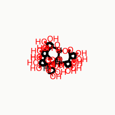 O=C1OC[C@@H]2OC(=O)c3cc(O)c(O)c(O)c3-c3c(O)c(O)c(O)c4c3C(=O)O[C@H]([C@H]2OC(=O)c2cc(O)c(O)c(O)c2-c2c1cc(O)c(O)c2O)[C@H]1OC(=O)c2c-4c(O)c(O)c(O)c2[C@@H]1C1(O)OC[C@H](O)[C@@H](O)[C@@H]1O